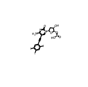 Nc1nc(=O)n([C@H]2C[C@@H](O)[C@@H](O[PH](=O)O)O2)cc1C#Cc1cc(I)c(I)cc1I